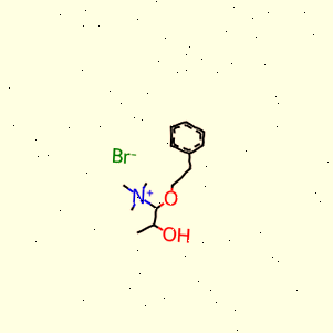 CC(O)C(OCCc1ccccc1)[N+](C)(C)C.[Br-]